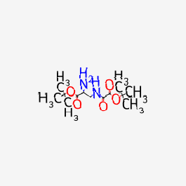 CC(C)(C)OC(=O)C(=O)NC[C@H](N)C(=O)OC(C)(C)C